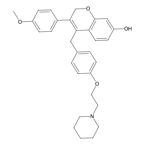 COc1ccc(C2=C(Cc3ccc(OCCN4CCCCC4)cc3)c3ccc(O)cc3OC2)cc1